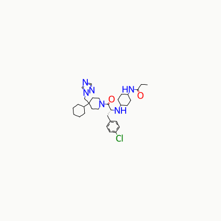 CCC(=O)NC1CCC(N[C@H](Cc2ccc(Cl)cc2)C(=O)N2CCC(Cn3cncn3)(C3CCCCC3)CC2)CC1